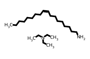 CCCCCCCC/C=C\CCCCCCCCN.CCN(CC)CC